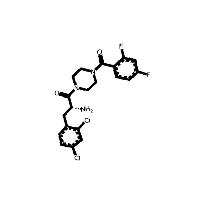 N[C@H](Cc1ccc(Cl)cc1Cl)C(=O)N1CCN(C(=O)c2ccc(F)cc2F)CC1